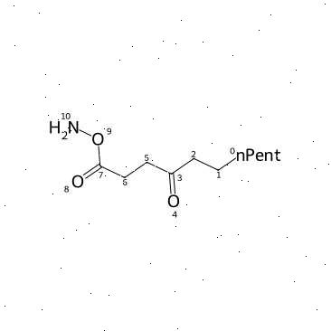 CCCCCCCC(=O)CCC(=O)ON